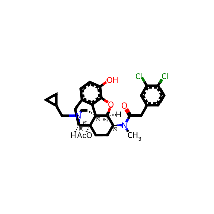 CC(=O)O[C@@]12CC[C@H](N(C)C(=O)Cc3ccc(Cl)c(Cl)c3)[C@@H]3Oc4c(O)ccc5c4[C@@]31CCN(CC1CC1)[C@@H]2C5